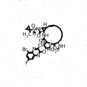 Cc1nc2c(Br)cc(F)cc2nc1O[C@@H]1C[C@H]2C(=O)N[C@]3(C(=O)NS(=O)(=O)C4(C)CC4)C[C@H]3/C=C\CCCCC[C@H](NC(=O)O)C(=O)N2C1